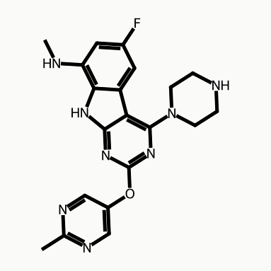 CNc1cc(F)cc2c1[nH]c1nc(Oc3cnc(C)nc3)nc(N3CCNCC3)c12